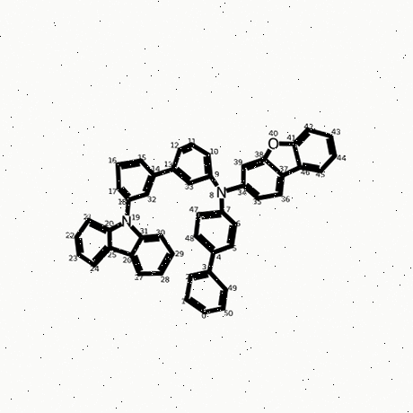 c1ccc(-c2ccc(N(c3cccc(-c4cccc(-n5c6ccccc6c6ccccc65)c4)c3)c3ccc4c(c3)oc3ccccc34)cc2)cc1